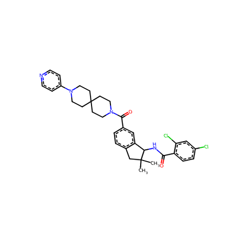 CC1(C)Cc2ccc(C(=O)N3CCC4(CC3)CCN(c3ccncc3)CC4)cc2C1NC(=O)c1ccc(Cl)cc1Cl